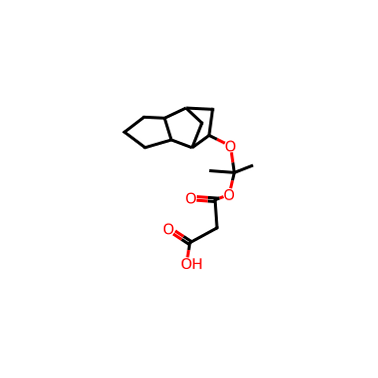 CC(C)(OC(=O)CC(=O)O)OC1CC2CC1C1CCCC21